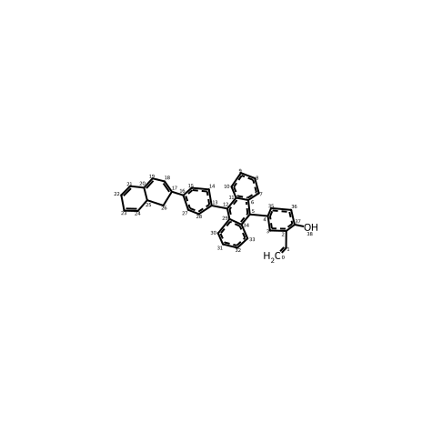 C=Cc1cc(-c2c3ccccc3c(-c3ccc(C4=CC=C5C=CC=CC5C4)cc3)c3ccccc23)ccc1O